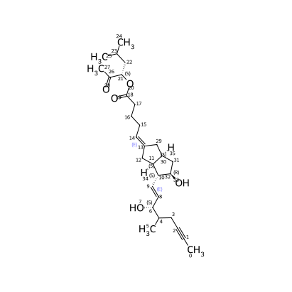 CC#CCC(C)[C@H](O)/C=C/[C@@H]1[C@H]2C/C(=C/CCCC(=O)O[C@@H](CC(C)C)C(C)=O)C[C@H]2C[C@H]1O